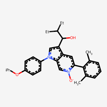 CCC(CC)C(O)c1cn(-c2ccc(OC(C)C)cc2)c2c[n+]([O-])c(-c3c(C)cccc3C)cc12